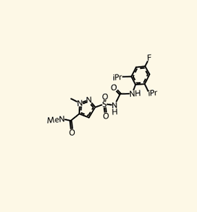 CNC(=O)c1cc(S(=O)(=O)NC(=O)Nc2c(C(C)C)cc(F)cc2C(C)C)nn1C